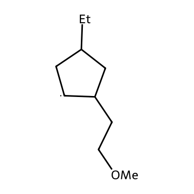 [CH2]CC1C[CH]C(CCOC)C1